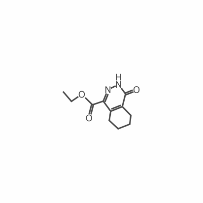 CCOC(=O)c1n[nH]c(=O)c2c1CCCC2